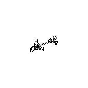 N#CN=C(NCCCCCC1CCN(C(=O)c2cccs2)C1)Nc1ccncc1F